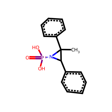 CC1(c2ccccc2)C(c2ccccc2)[N@]1P(=O)(O)O